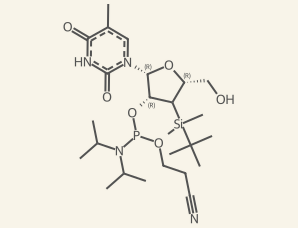 Cc1cn([C@@H]2O[C@H](CO)C([Si](C)(C)C(C)(C)C)[C@@H]2OP(OCCC#N)N(C(C)C)C(C)C)c(=O)[nH]c1=O